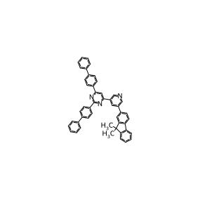 CC1(C)c2ccccc2-c2ccc(-c3cncc(-c4cc(-c5ccc(-c6ccccc6)cc5)nc(-c5ccc(-c6ccccc6)cc5)n4)c3)cc21